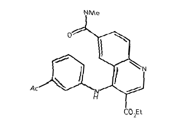 CCOC(=O)c1cnc2ccc(C(=O)NC)cc2c1Nc1cccc(C(C)=O)c1